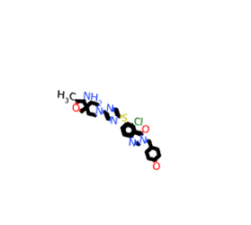 C[C@@H]1OCC2(CCN(c3cnc(Sc4ccc5ncn(CC6CCC(=O)CC6)c(=O)c5c4Cl)cn3)CC2)[C@@H]1N